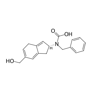 O=C(O)N(Cc1ccccc1)[C@H]1C=C2CC=C(CO)C=C2C1